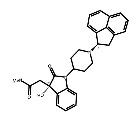 CNC(=O)C[C@@]1(O)C(=O)N(C2CCN([C@@H]3Cc4cccc5cccc3c45)CC2)c2ccccc21